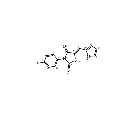 Cc1ccc(N2C(=O)C(=Cc3ccco3)SC2=S)cc1